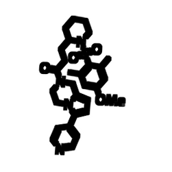 COc1cc(C)c(S(=O)(=O)N2CCCCC2CCC(=O)N2CCn3c(ccc3-c3ccncc3)C2)c(C)c1